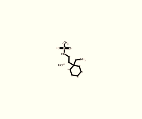 CS(=O)(=O)NCCC1(CN)CCCCC1.Cl